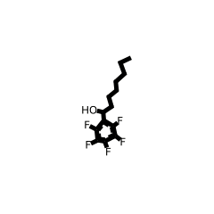 CCCCCCCC(O)c1c(F)c(F)c(F)c(F)c1F